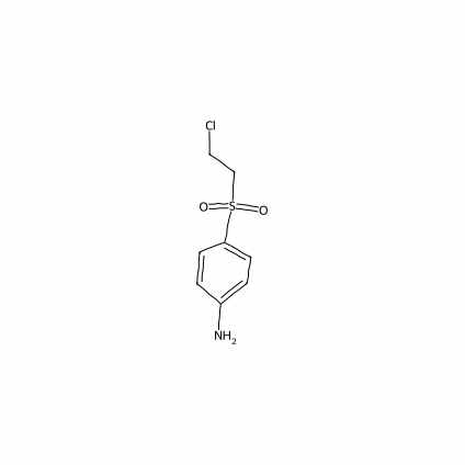 Nc1ccc(S(=O)(=O)CCCl)cc1